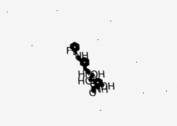 O=c1[nH]c2c(O)ccc(C(O)C(O)NCCc3cccc(CNCc4ccccc4F)c3)c2s1